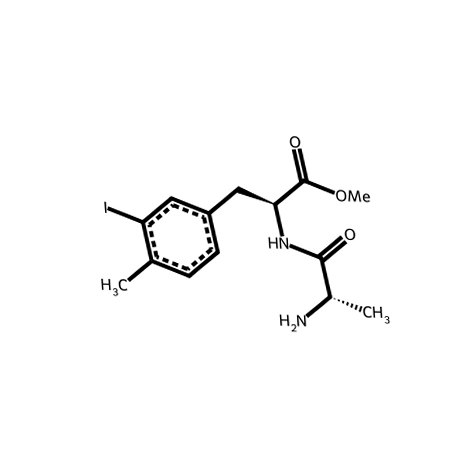 COC(=O)[C@H](Cc1ccc(C)c(I)c1)NC(=O)[C@H](C)N